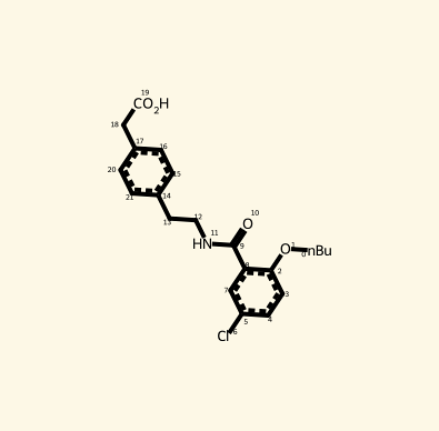 CCCCOc1ccc(Cl)cc1C(=O)NCCc1ccc(CC(=O)O)cc1